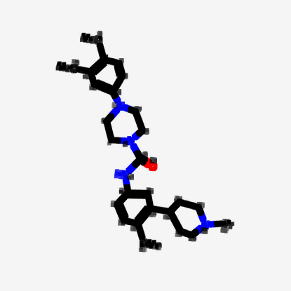 COc1ccc(N2CCN(C(=O)Nc3ccc(OC)c(C4CCN(C(C)C)CC4)c3)CC2)cc1OC